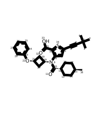 CC(C)(C)C#Cc1cc(N(C(=O)[C@H]2CC[C@H](C)CC2)[C@H]2C[C@@H](Oc3ccccc3)C2)c(C(=O)O)s1